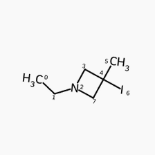 CCN1CC(C)(I)C1